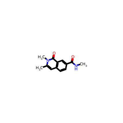 CNC(=O)c1ccc2cc(C)n(C)c(=O)c2c1